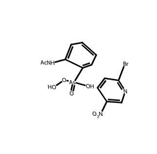 CC(=O)Nc1ccccc1[As](=O)(O)OO.O=[N+]([O-])c1ccc(Br)nc1